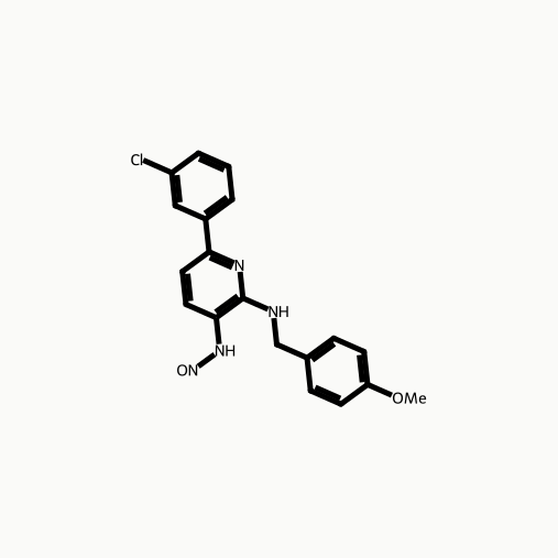 COc1ccc(CNc2nc(-c3cccc(Cl)c3)ccc2NN=O)cc1